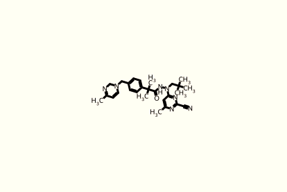 CC1=NCN(Cc2ccc(C(C)(C)C(=O)NN(CC(C)(C)C)c3cc(C)nc(C#N)n3)cc2)C=C1